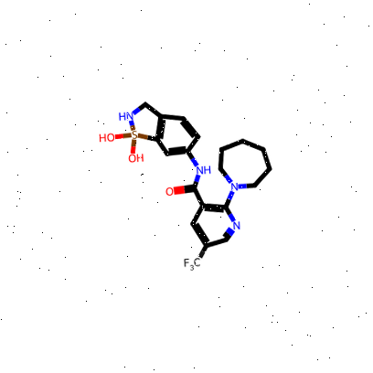 O=C(Nc1ccc2c(c1)S(O)(O)NC2)c1cc(C(F)(F)F)cnc1N1CCCCCC1